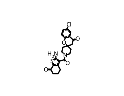 Nc1sc2c(c1C(=O)N1CCC3(CC1)CC(=O)c1cc(Cl)ccc1O3)CCCC2=O